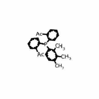 CC(=O)c1ccccc1P(c1ccccc1C(C)=O)c1ccc(C)c(C)c1C